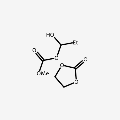 CCC(O)OC(=O)OC.O=C1OCCO1